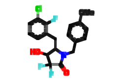 COc1ccc(CN2C(=O)C(F)(F)C(O)C2Cc2cccc(Cl)c2F)cc1